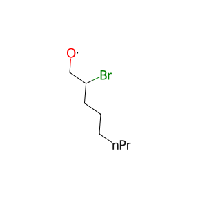 CCCCCCC(Br)C[O]